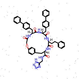 O=C1COc2ccc(cc2)C[C@@H](C(=O)NCc2nnn[nH]2)NC(=O)[C@H](CCc2ccccc2)NC(=O)[C@@H](Cc2ccc(-c3ccccc3)cc2)NC(=O)[C@H](Cc2ccc(-c3ccccc3)cc2)N1